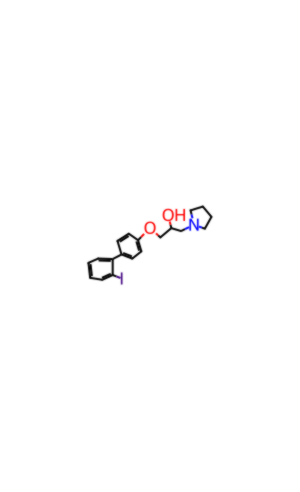 OC(COc1ccc(-c2ccccc2I)cc1)CN1CCCC1